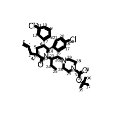 C=CC[C@@]1(C)C[C@H](c2cccc(Cl)c2)[C@@H](c2ccc(Cl)cc2)N(C(CC)CN2CCN(C(=O)OC(C)(C)C)CC2)C1=O